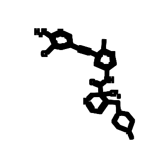 Cc1ncc(NC(=O)C2(C(F)(F)F)CN=CC=C2CN2CCN(C)CC2)cc1C#Cc1cnc(N)c(Cl)c1